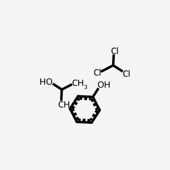 CC(C)O.ClC(Cl)Cl.Oc1ccccc1